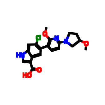 COc1nc(N2CC[C@@H](OC)C2)ccc1-c1cc2c(C(=O)O)c[nH]c2cc1Cl